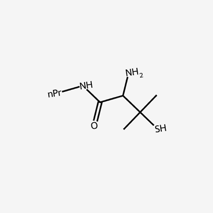 CCCNC(=O)C(N)C(C)(C)S